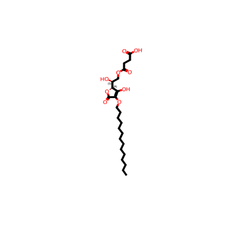 CCCCCCCCCCCCCCOC1=C(O)[C@@H]([C@@H](O)COC(=O)CCC(=O)O)OC1=O